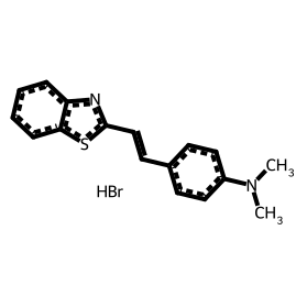 Br.CN(C)c1ccc(C=Cc2nc3ccccc3s2)cc1